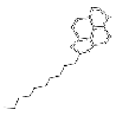 CCCCCCCCCCc1cc2ccc3[c]ccc4ccc(c1)c2c34